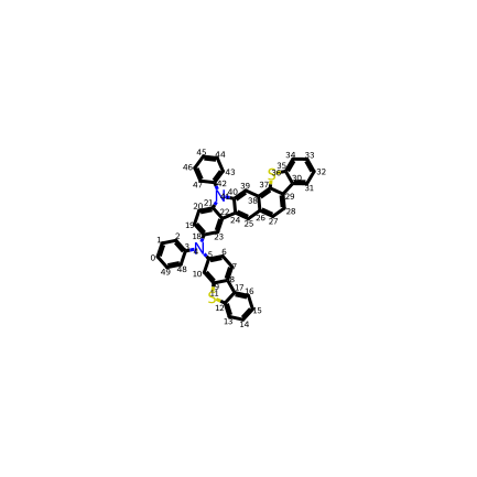 c1ccc(N(c2ccc3c(c2)sc2ccccc23)c2ccc3c(c2)c2cc4ccc5c6ccccc6sc5c4cc2n3-c2ccccc2)cc1